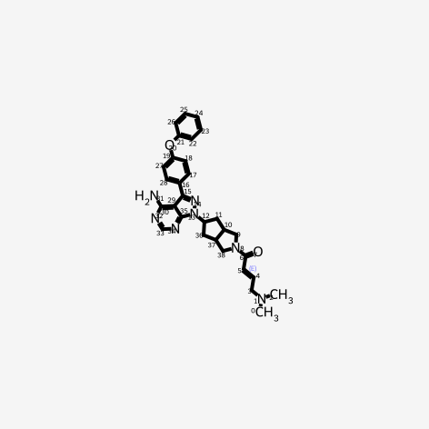 CN(C)C/C=C/C(=O)N1CC2CC(n3nc(-c4ccc(Oc5ccccc5)cc4)c4c(N)ncnc43)CC2C1